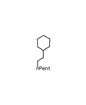 CCCCCCCC1C[CH]CCC1